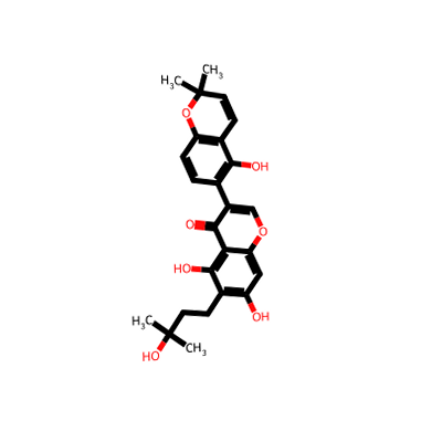 CC(C)(O)CCc1c(O)cc2occ(-c3ccc4c(c3O)C=CC(C)(C)O4)c(=O)c2c1O